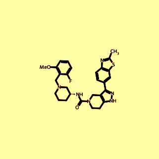 COc1cccc(F)c1CN1CCC[C@@H](NC(=O)N2CCc3[nH]nc(-c4ccc5nc(C)sc5c4)c3C2)C1